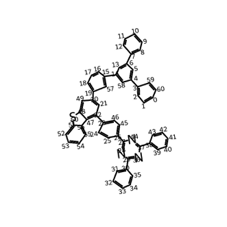 c1ccc(-c2cc(-c3ccccc3)cc(-c3cccc(-c4cc(-c5ccc(-c6nc(-c7ccccc7)nc(-c7ccccc7)n6)cc5)c5c(c4)sc4ccccc45)c3)c2)cc1